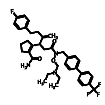 C=C(CCc1ccc(F)cc1)C(CC(=O)N(Cc1ccc(-c2ccc(C(F)(F)F)cc2)cc1)OCN(CC)CC)C1=C(C(N)=O)CCC1